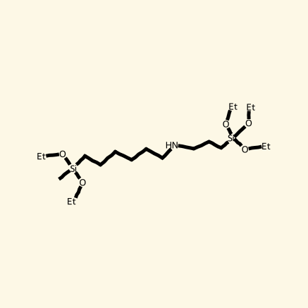 CCO[Si](C)(CCCCCCNCCC[Si](OCC)(OCC)OCC)OCC